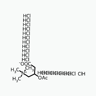 CC(=O)OC(CC(=O)[O-])C[N+](C)(C)C.Cl.Cl.Cl.Cl.Cl.Cl.Cl.Cl.Cl.Cl.Cl.Cl.Cl.Cl.Cl.Cl.Cl.Cl.Cl.Cl